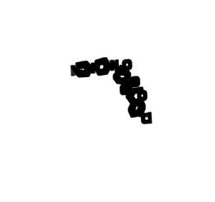 O=C1CN(S(=O)(=O)C2=Cc3ccc(Cl)cc3OC2)CCN1N=C1CCN(c2ccncc2)CC1